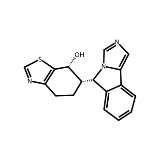 O[C@H]1c2scnc2CC[C@H]1C1c2ccccc2-c2cncn21